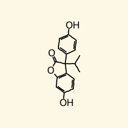 CC(C)C1(c2ccc(O)cc2)C(=O)Oc2cc(O)ccc21